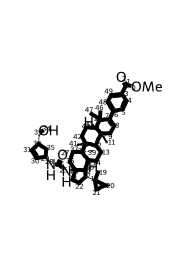 COC(=O)c1ccc(C2=CC[C@]3(C)C4CC[C@@H]5C6[C@H](C7(C)CC7)CC[C@]6(NC(=O)N[C@@H]6C=C[C@H](CO)C6)CC[C@@]5(C)[C@]4(C)CC[C@H]3C2(C)C)cc1